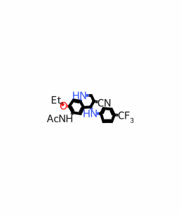 CCOc1cc2c(cc1NC(C)=O)C(Nc1ccc(C(F)(F)F)cc1)C(C#N)CN2